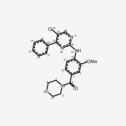 COc1cc(C(=O)N2CCOCC2)ccc1Nc1ncc(Cl)c(-c2ccccc2)n1